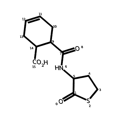 O=C1SCCC1NC(=O)C1CC=CCC1C(=O)O